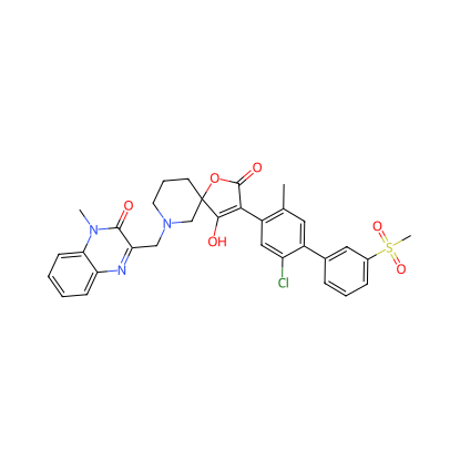 Cc1cc(-c2cccc(S(C)(=O)=O)c2)c(Cl)cc1C1=C(O)C2(CCCN(Cc3nc4ccccc4n(C)c3=O)C2)OC1=O